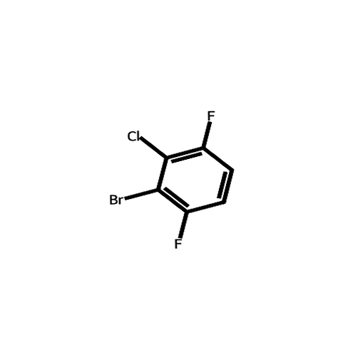 Fc1ccc(F)c(Br)c1Cl